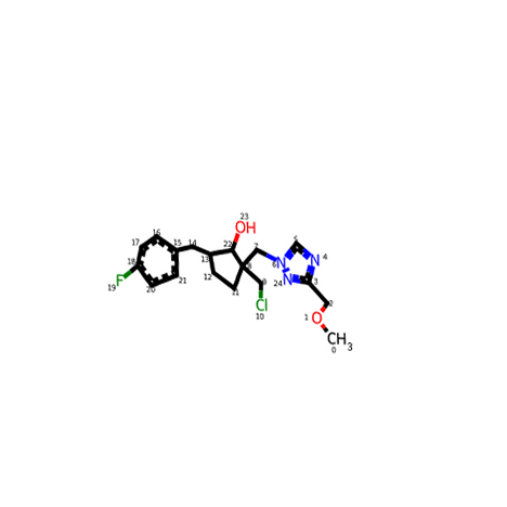 COCc1ncn(CC2(CCl)CCC(Cc3ccc(F)cc3)C2O)n1